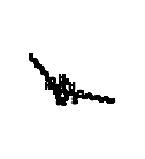 CCCCCCCCO[SH]=C(N)C1(C)CC(NC(=S)OCCCCCCCC)CC(C)(C)C1